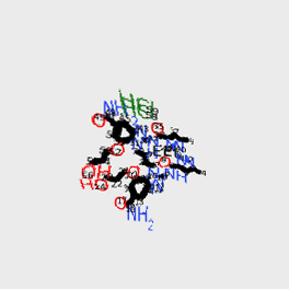 CCn1nc(C)cc1C(=O)Nc1nc2cc(C(N)=O)cc(OCCCO)c2n1CCCCn1c(NC(=O)c2cc(C)nn2CC)nc2cc(C(N)=O)cc(OCCCO)c21.Cl.Cl